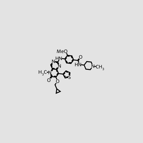 COc1cc(C(=O)NC2CCN(C)CC2)ccc1Nc1ncc2c(n1)c(-c1ccsc1)c(OCC1CC1)c(=O)n2C